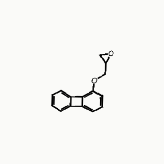 c1ccc2c(c1)-c1cccc(OCC3CO3)c1-2